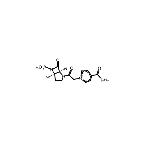 NC(=O)c1cc[n+](CC(=O)N2CC[C@@H]3[C@H]2C(=O)N3S(=O)(=O)O)cc1